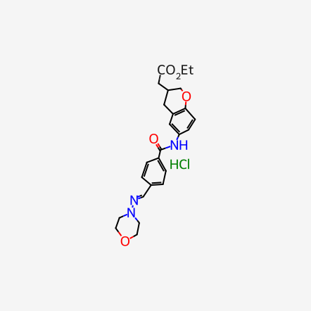 CCOC(=O)CC1COc2ccc(NC(=O)c3ccc(C=NN4CCOCC4)cc3)cc2C1.Cl